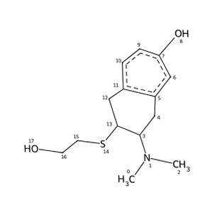 CN(C)C1Cc2cc(O)ccc2CC1SCCO